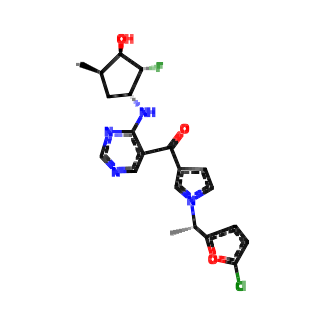 [CH2][C@@H]1C[C@@H](Nc2ncncc2C(=O)c2ccn([C@@H](C)c3ccc(Cl)o3)c2)[C@@H](F)[C@@H]1O